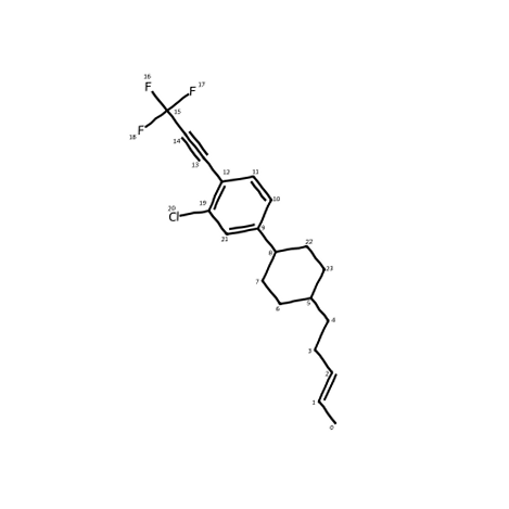 C/C=C/CCC1CCC(c2ccc(C#CC(F)(F)F)c(Cl)c2)CC1